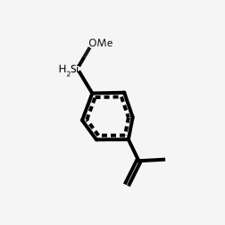 C=C(C)c1ccc([SiH2]OC)cc1